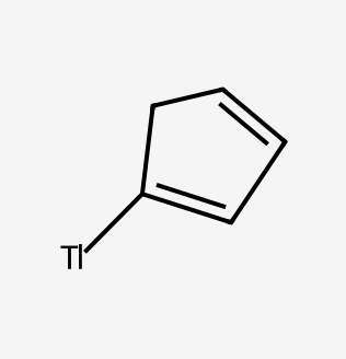 [Tl][C]1=CC=CC1